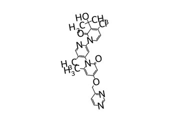 Cc1cnc(-n2ccc(Cl)c(C(C)(C)O)c2=O)cc1-n1c(C)cc(OCc2ccncn2)cc1=O